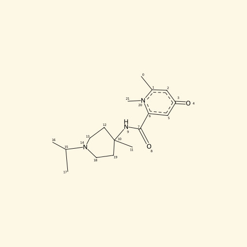 Cc1cc(=O)cc(C(=O)NC2(C)CCN(C(C)C)CC2)n1C